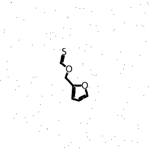 S=COCc1ccco1